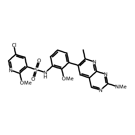 CNc1ncc2cc(-c3cccc(NS(=O)(=O)c4cc(Cl)cnc4OC)c3OC)c(C)nc2n1